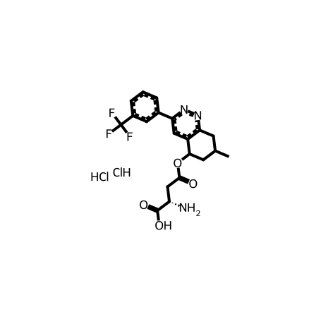 CC1Cc2nnc(-c3cccc(C(F)(F)F)c3)cc2C(OC(=O)C[C@H](N)C(=O)O)C1.Cl.Cl